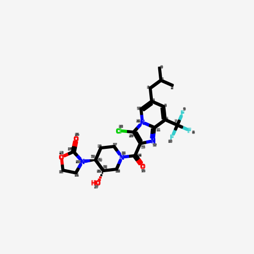 CC(C)Cc1cc(C(F)(F)F)c2nc(C(=O)N3CC[C@H](N4CCOC4=O)[C@@H](O)C3)c(Cl)n2c1